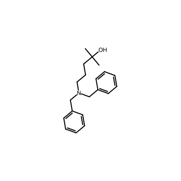 CC(C)(O)CCCN(Cc1ccccc1)Cc1ccccc1